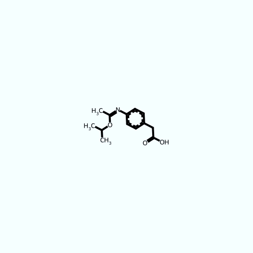 C/C(=N/c1ccc(CC(=O)O)cc1)OC(C)C